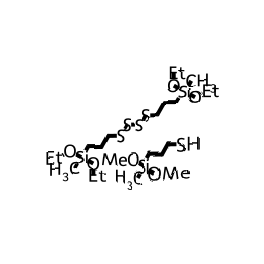 CCO[Si](C)(CCCSSSSCCC[Si](C)(OCC)OCC)OCC.CO[Si](C)(CCCS)OC